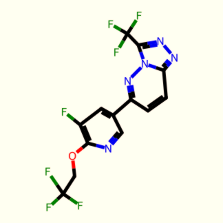 Fc1cc(-c2ccc3nnc(C(F)(F)F)n3n2)cnc1OCC(F)(F)F